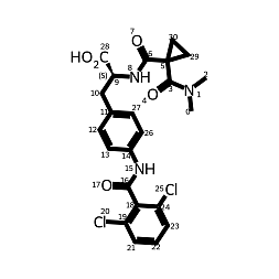 CN(C)C(=O)C1(C(=O)N[C@@H](Cc2ccc(NC(=O)c3c(Cl)cccc3Cl)cc2)C(=O)O)CC1